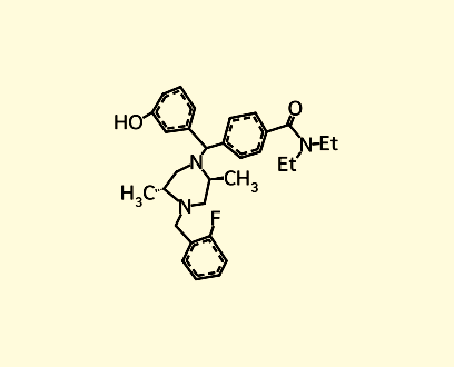 CCN(CC)C(=O)c1ccc(C(c2cccc(O)c2)N2C[C@@H](C)N(Cc3ccccc3F)C[C@@H]2C)cc1